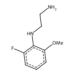 COc1cccc(F)c1NCCN